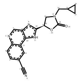 N#Cc1ccc2ncc3nc([C@H]4CN(CC5CC5)C(=O)O4)[nH]c3c2c1